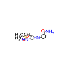 CC(C)(C)S(=O)(=O)N[C@H]1CC[C@H](CNc2cccc(C(N)=O)c2)CC1